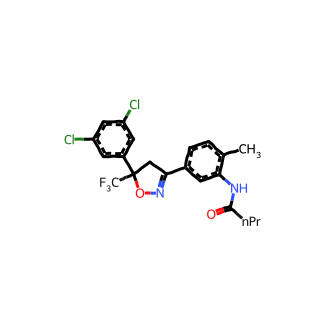 CCCC(=O)Nc1cc(C2=NOC(c3cc(Cl)cc(Cl)c3)(C(F)(F)F)C2)ccc1C